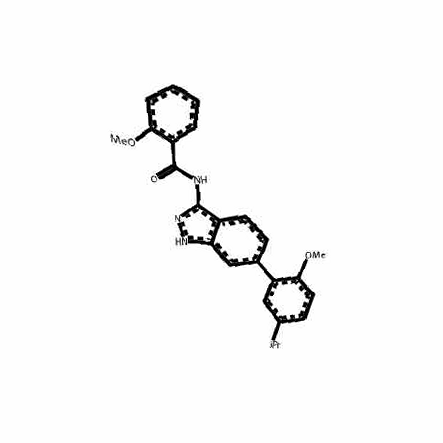 COc1ccccc1C(=O)Nc1n[nH]c2cc(-c3cc(C(C)C)ccc3OC)ccc12